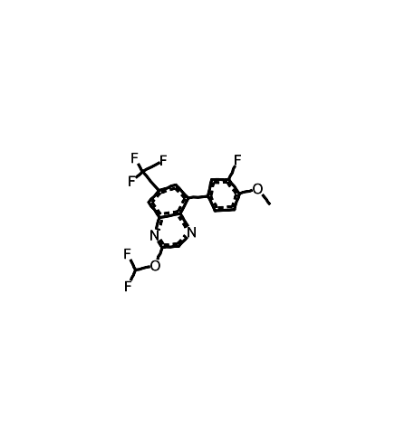 COc1ccc(-c2cc(C(F)(F)F)cc3nc(OC(F)F)cnc23)cc1F